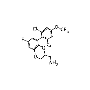 NC[C@H]1COc2cc(F)cc(-c3c(Cl)cc(OC(F)(F)F)cc3Cl)c2O1